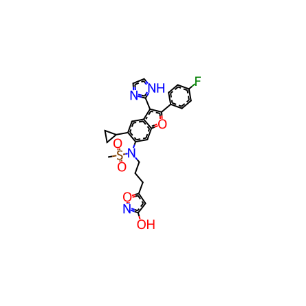 CS(=O)(=O)N(CCCc1cc(O)no1)c1cc2oc(-c3ccc(F)cc3)c(-c3ncc[nH]3)c2cc1C1CC1